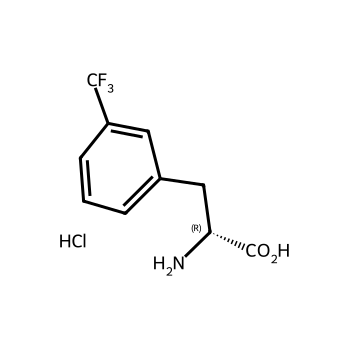 Cl.N[C@H](Cc1cccc(C(F)(F)F)c1)C(=O)O